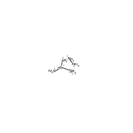 NN.[SiH3][SiH]([SiH3])[SiH3]